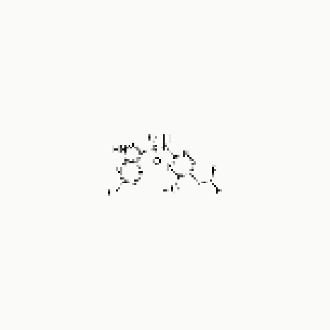 COc1nc(NS(=O)(=O)c2c[nH]c3nc(Cl)ccc23)ncc1CC(F)F